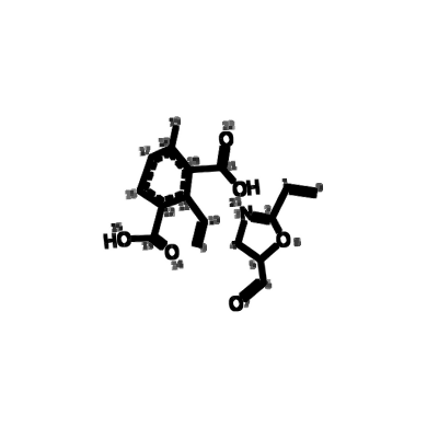 C=CC1=NCC(C=O)O1.C=Cc1c(C(=O)O)ccc(C)c1C(=O)O